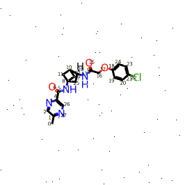 Cc1cnc(C(=O)NC23CC(C2)[C@@H](NC(=O)COc2ccc(Cl)cc2)C3)cn1